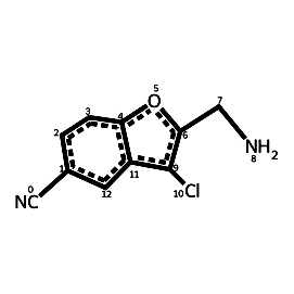 N#Cc1ccc2oc(CN)c(Cl)c2c1